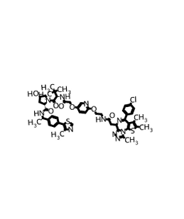 Cc1ncsc1-c1ccc([C@H](C)NC(=O)[C@@H]2C[C@@H](O)CN2C(=O)[C@@H](NC(=O)COc2ccc(OCCNC(=O)CC3N=C(c4ccc(Cl)cc4)c4c(sc(C)c4C)-n4c(C)nnc43)nc2)C(C)(C)C)cc1